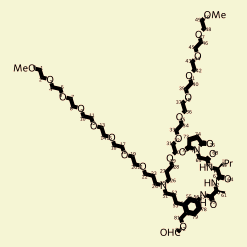 COCCOCCOCCOCCOCCOCCOCCOCCCN(CCCOCCOCCOCCOCCOCCOCCOCCOC)CCCc1cc(NC(=O)[C@H](C)NC(=O)[C@@H](NC(=O)CN2C(=O)C=CC2=O)C(C)C)ccc1COC=O